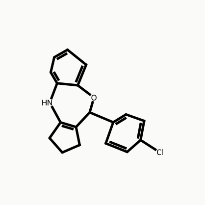 Clc1ccc(C2Oc3ccccc3NC3=C2CCC3)cc1